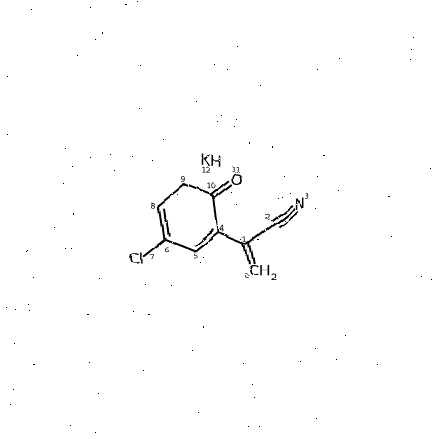 C=C(C#N)C1=CC(Cl)=CCC1=O.[KH]